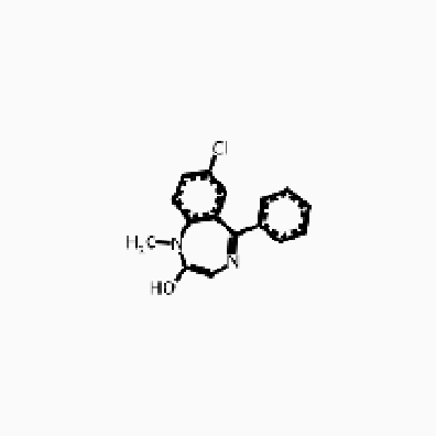 CN1C(O)=CN=C(c2ccccc2)c2cc(Cl)ccc21